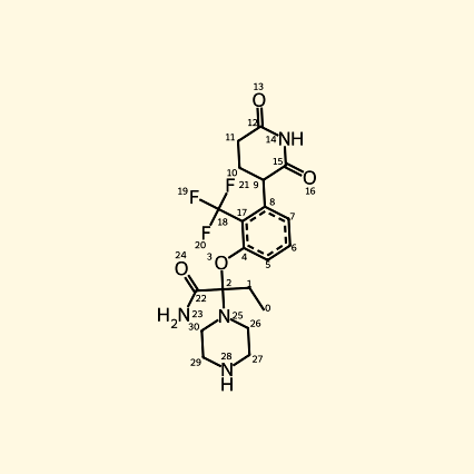 CCC(Oc1cccc(C2CCC(=O)NC2=O)c1C(F)(F)F)(C(N)=O)N1CCNCC1